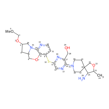 COCOC1CC2COc3c(Sc4cnc(N5CCC6(CC5)COC(C)C6N)c(CO)n4)ccnc3N2C1